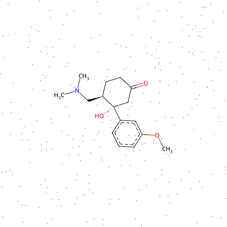 COc1cccc([C@]2(O)CC(=O)CC[C@@H]2CN(C)C)c1